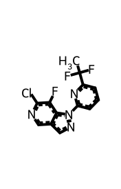 CC(F)(F)c1cccc(-n2ncc3cnc(Cl)c(F)c32)n1